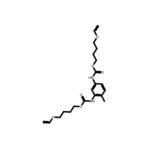 C=COCCCCOC(=O)Nc1ccc(C)c(NC(=O)OCCCCOC=C)c1